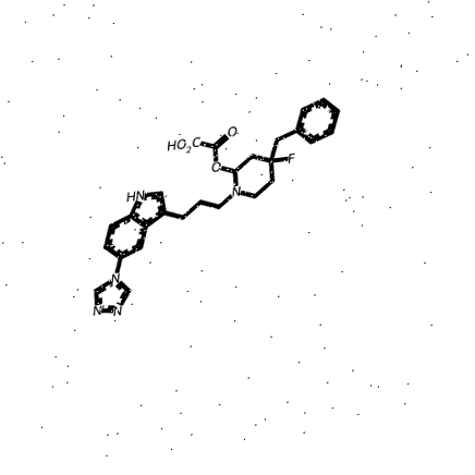 O=C(O)C(=O)OC1CC(F)(Cc2ccccc2)CCN1CCCc1c[nH]c2ccc(-n3cnnc3)cc12